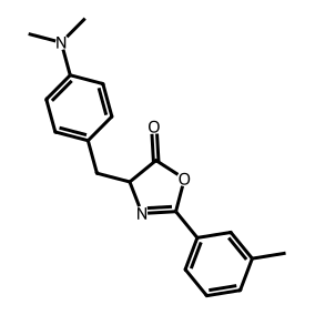 Cc1cccc(C2=NC(Cc3ccc(N(C)C)cc3)C(=O)O2)c1